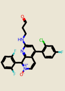 O=CCCNc1cc(-c2ccc(F)cc2Cl)c2c(n1)C(c1c(F)cccc1F)[NH+]([O-])C=C2